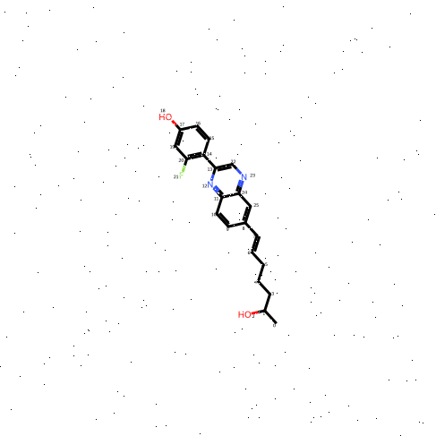 CC(O)CCC/C=C/c1ccc2nc(-c3ccc(O)cc3F)cnc2c1